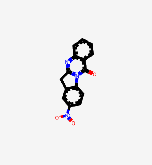 O=c1c2ccccc2nc2n1-c1ccc([N+](=O)[O-])cc1C2